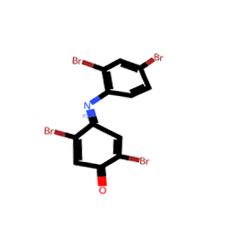 O=C1C=C(Br)/C(=N/c2ccc(Br)cc2Br)C=C1Br